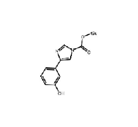 CC(C)(C)OC(=O)n1cnc(-c2cccc(O)c2)c1